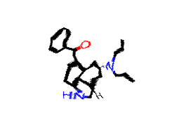 CCCN(CCC)[C@H]1Cc2c(C(=O)c3ccccc3)ccc3c2[C@@H](CN3)C1